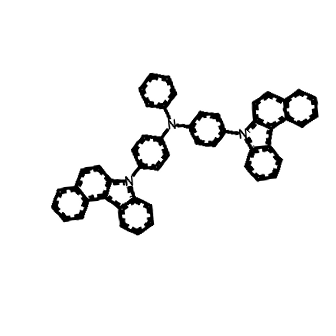 c1ccc(N(c2ccc(-n3c4ccccc4c4c5ccccc5ccc43)cc2)c2ccc(-n3c4ccccc4c4c5ccccc5ccc43)cc2)cc1